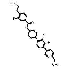 CCCc1ccc(C(=O)OC2CCC(c3ccc(-c4ccc(CC)cc4)c(F)c3F)CC2)cc1F